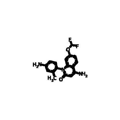 Cc1cc(N)ccc1-n1c(=O)cc(N)c2ccc(OC(F)F)cc21